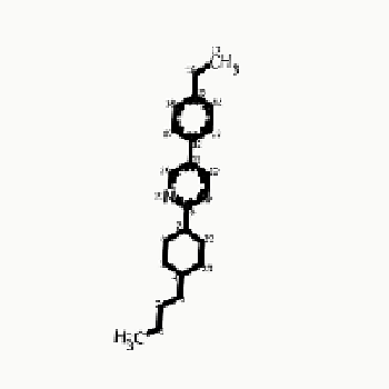 CCCCC1CCC(c2ccc(-c3ccc(CC)cc3)cn2)CC1